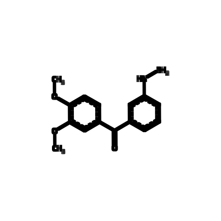 BNc1cccc(C(=O)c2ccc(OC)c(OC)c2)c1